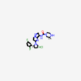 C[C@H]1CN(C(=O)Nc2cnn3ccc(N4CCC[C@@H]4c4cc(F)ccc4F)nc23)CCN1.Cl